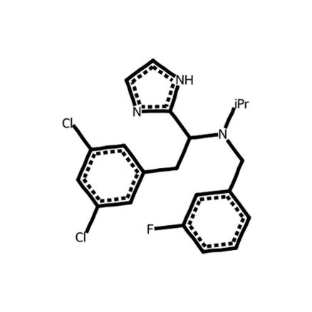 CC(C)N(Cc1cccc(F)c1)C(Cc1cc(Cl)cc(Cl)c1)c1ncc[nH]1